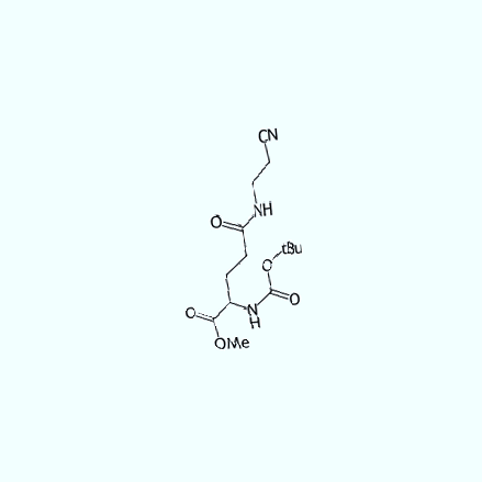 COC(=O)C(CCC(=O)NCCC#N)NC(=O)OC(C)(C)C